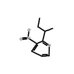 [CH2]C(CC)c1ncccc1[N+](=O)[O-]